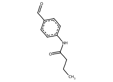 CCCC(=O)Nc1ccc(C=O)cc1